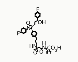 CC(C)C(NC(=O)CC1(NCCCc2ccc([C@@H]3[C@@H](CCC(O)c4ccc(F)cc4)C(=O)N3c3ccc(F)cc3)cc2)COC1)C(=O)O